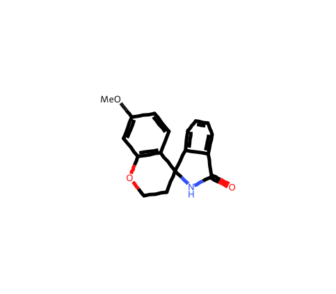 COc1ccc2c(c1)OCCC21NC(=O)c2ccccc21